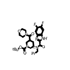 CC(C)CN(C(=O)c1nc2cc(F)c(F)cc2[nH]1)[C@H]1CC(C(=O)N2CCOCC2)CN(C(=O)OC(C)(C)C)C1